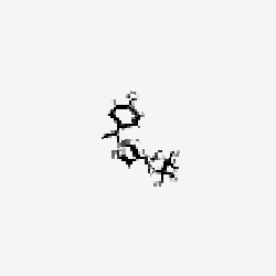 CC(c1ccc(Cl)cc1)n1cc(B2OC(C)(C)C(C)(C)O2)cn1